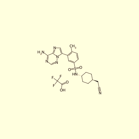 Cc1ccc(S(=O)(=O)N[C@H]2CC[C@H](CC#N)CC2)cc1-c1cnc2c(N)ncnn12.O=C(O)C(F)(F)F